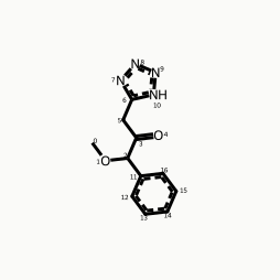 COC(C(=O)Cc1nnn[nH]1)c1ccccc1